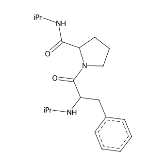 CC(C)NC(=O)C1CCCN1C(=O)C(Cc1ccccc1)NC(C)C